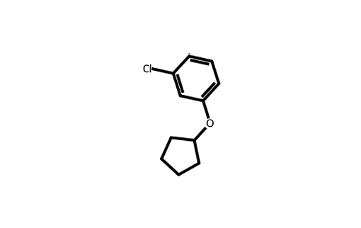 Clc1[c]ccc(OC2CCCC2)c1